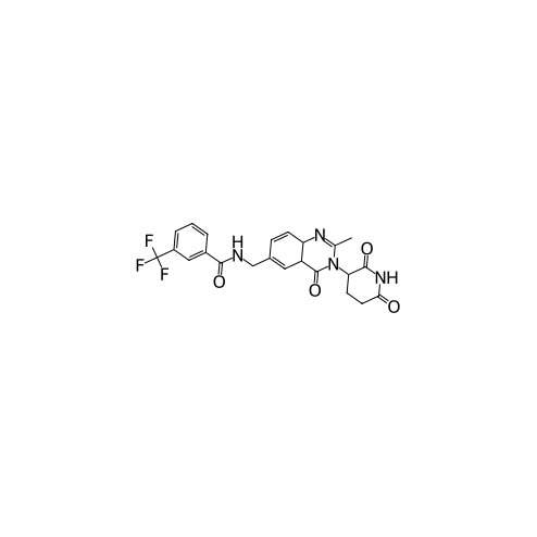 CC1=NC2C=CC(CNC(=O)c3cccc(C(F)(F)F)c3)=CC2C(=O)N1C1CCC(=O)NC1=O